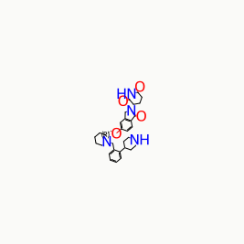 O=C1CCC(N2Cc3cc(OC[C@H]4CCCCN4Cc4ccccc4C4CCNCC4)ccc3C2=O)C(=O)N1